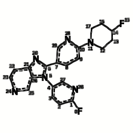 Fc1ccc(-n2c(-c3ccc(N4CCC(F)CC4)nc3)nc3ccncc32)cn1